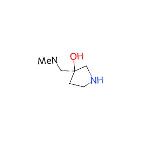 CNCC1(O)CCNC1